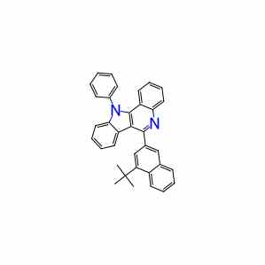 CC(C)(C)c1cc(-c2nc3ccccc3c3c2c2ccccc2n3-c2ccccc2)cc2ccccc12